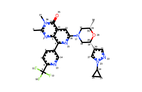 Cc1nc2c(-c3ccc(C(F)(F)F)nc3)nc(N3C[C@@H](c4cnn(C5CC5)c4)O[C@@H](C)C3)cc2c(=O)n1C